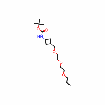 CCCOCCOCCOC[C@H]1C[C@H](NC(=O)OC(C)(C)C)C1